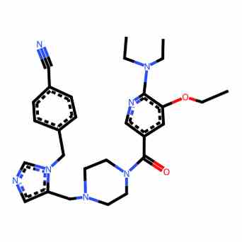 CCOc1cc(C(=O)N2CCN(Cc3cncn3Cc3ccc(C#N)cc3)CC2)cnc1N(CC)CC